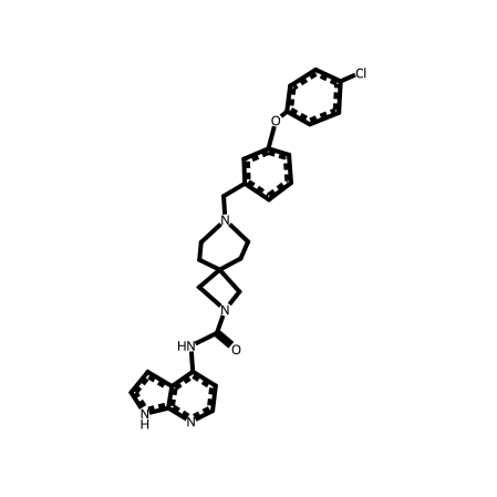 O=C(Nc1ccnc2[nH]ccc12)N1CC2(CCN(Cc3cccc(Oc4ccc(Cl)cc4)c3)CC2)C1